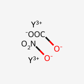 O=C([O-])[O-].O=[N+]([O-])[O-].[Y+3].[Y+3]